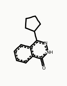 O=c1[nH]nc(C2CCCC2)c2ccccc12